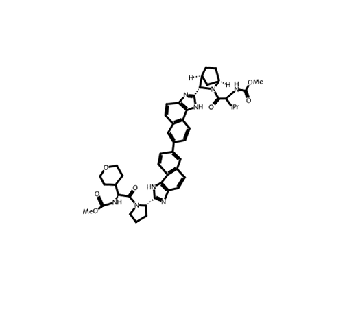 COC(=O)NC(C(=O)N1[C@@H]2CC[C@@H](C2)[C@H]1c1nc2ccc3cc(-c4ccc5c(ccc6nc([C@@H]7CCCN7C(=O)[C@@H](NC(=O)OC)C7CCOCC7)[nH]c65)c4)ccc3c2[nH]1)C(C)C